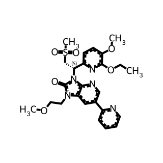 CCOc1nc([C@@H](CS(C)(=O)=O)n2c(=O)n(CCOC)c3cc(-c4ccccn4)cnc32)ccc1OC